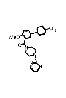 COc1ccc(-c2ccc(C(F)(F)F)cc2)cc1C(=O)N1CCN(Cc2ncccn2)CC1